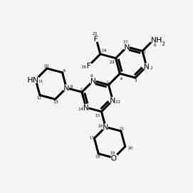 Nc1ncc(-c2nc(N3CCNCC3)nc(N3CCOCC3)n2)c(C(F)F)n1